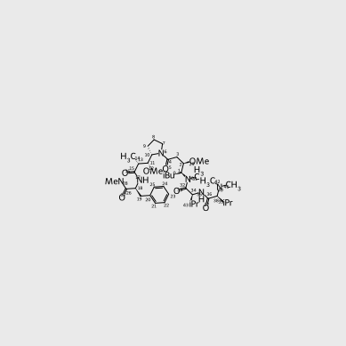 CC[C@H](C)[C@@H]([C@@H](CC(=O)N1CCC[C@H]1[C@H](OC)[C@@H](C)C(=O)N[C@@H](Cc1ccccc1)C(=O)NC)OC)N(C)C(=O)[C@@H](NC(=O)[C@H](C(C)C)N(C)C)C(C)C